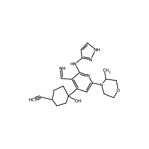 C#CC1CCC(O)(c2cc(N3CCOCC3C)nc(Nc3cc[nH]n3)c2C=N)CC1